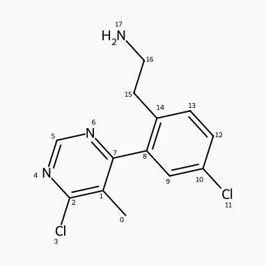 Cc1c(Cl)ncnc1-c1cc(Cl)ccc1CCN